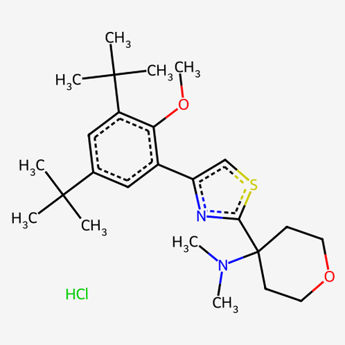 COc1c(-c2csc(C3(N(C)C)CCOCC3)n2)cc(C(C)(C)C)cc1C(C)(C)C.Cl